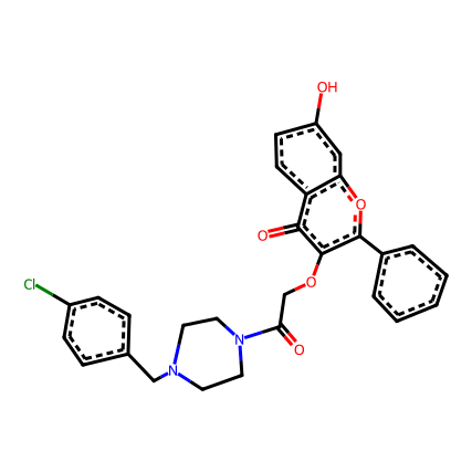 O=C(COc1c(-c2ccccc2)oc2cc(O)ccc2c1=O)N1CCN(Cc2ccc(Cl)cc2)CC1